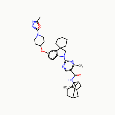 Cc1nnc(N2CCC(Oc3ccc4c(c3)C3(CCCCC3)CN4c3ncc(C(=O)NC4(C(=O)O)C5CCC6CC4CC6C5)c(C(F)(F)F)n3)CC2)o1